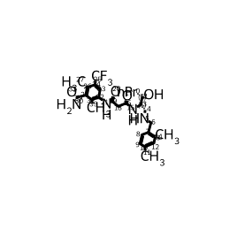 CCC[C@H](O)[C@H](CNCc1ccc(C)cc1C)NC(=O)CC(=O)Nc1cc(C(F)(F)F)c(C)c(C(N)=O)c1C